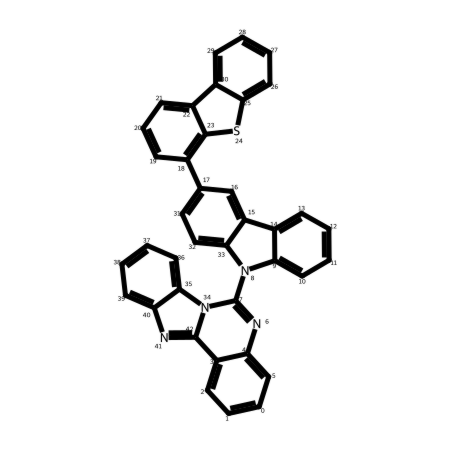 c1ccc2c(c1)nc(-n1c3ccccc3c3cc(-c4cccc5c4sc4ccccc45)ccc31)n1c3ccccc3nc21